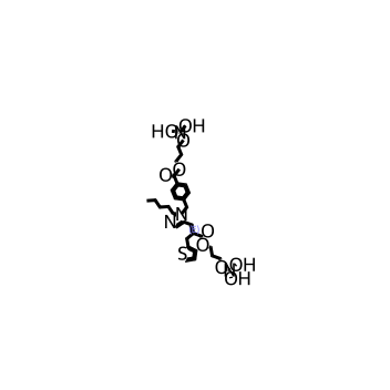 CCCCc1ncc(/C=C(\Cc2cccs2)C(=O)OCCCON(O)O)n1Cc1ccc(C(=O)OCCCON(O)O)cc1